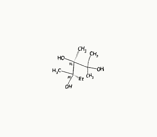 CC[C@@](C)(O)[C@@](C)(O)C(C)(C)O